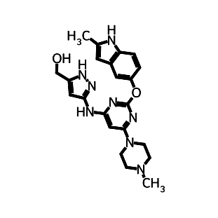 Cc1cc2cc(Oc3nc(Nc4cc(CO)[nH]n4)cc(N4CCN(C)CC4)n3)ccc2[nH]1